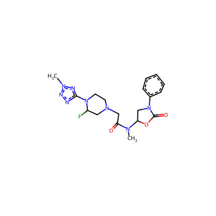 CN(C(=O)CN1CCN(c2nnn(C)n2)C(F)C1)C1CN(c2ccccc2)C(=O)O1